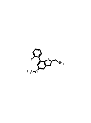 COc1cc2c(c(-c3ccccc3F)c1)OC(CN)C2